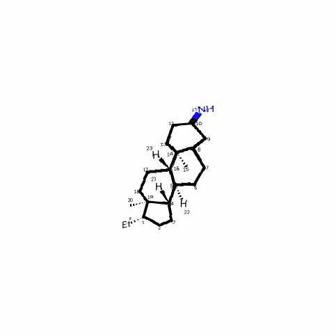 CC[C@H]1CC[C@H]2[C@@H]3CCC4CC(=N)CC[C@]4(C)[C@H]3CC[C@]12C